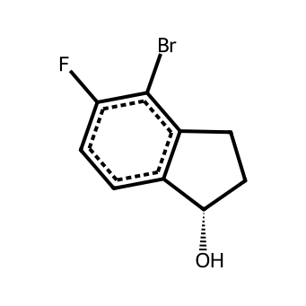 O[C@H]1CCc2c1ccc(F)c2Br